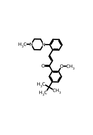 COc1ccc(C(C)(C)C)cc1C(=O)/C=C/c1ccccc1N1CCN(C)CC1